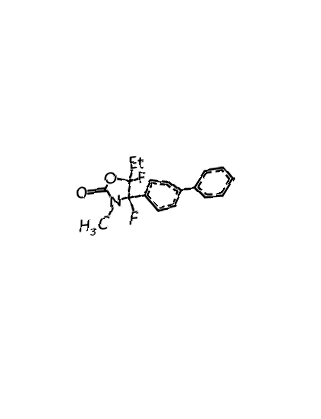 CCC1(F)OC(=O)N(C)C1(F)c1ccc(-c2ccccc2)cc1